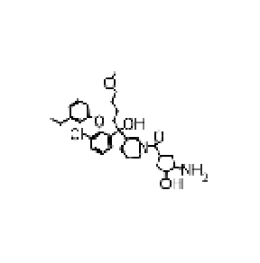 CCc1cccc(Oc2c(Cl)cccc2C(O)(CCCCOC)C2CCCN(C(=O)C3CC(N)C(O)C3)C2)c1